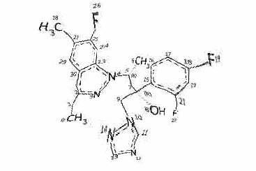 CCc1nn([C@H](C)[C@](O)(Cn2cncn2)c2ccc(F)cc2F)c2cc(F)c(C)cc12